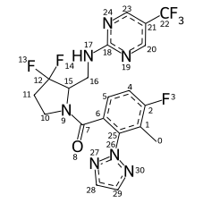 Cc1c(F)ccc(C(=O)N2CCC(F)(F)C2CNc2ncc(C(F)(F)F)cn2)c1-n1nccn1